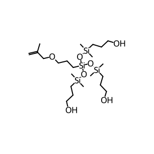 C=C(C)COCCC[Si](O[Si](C)(C)CCCO)(O[Si](C)(C)CCCO)O[Si](C)(C)CCCO